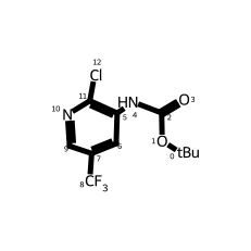 CC(C)(C)OC(=O)Nc1cc(C(F)(F)F)cnc1Cl